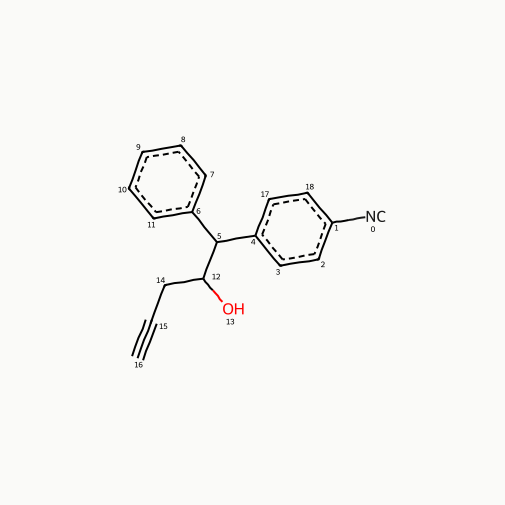 [C-]#[N+]c1ccc(C(c2ccccc2)C(O)CC#C)cc1